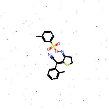 Cc1cccc(S(=O)(=O)ON=C2CCSC2=C(C#N)c2ccccc2C)c1